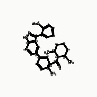 COc1ccccc1-c1n[nH]c2ncc(-c3ccc(N)c(C(=O)N4C(C)CCCC4C)c3)cc12